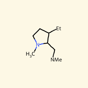 CCC1CCN(C)C1CNC